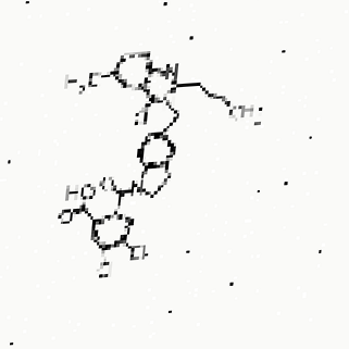 CCCCc1nc2ccc(C)cc2c(=O)n1Cc1ccc2c(c1)CCN2C(=O)c1cc(Cl)c(Cl)cc1C(=O)O